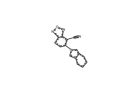 N#Cc1c(-n2cc3ccccc3c2)ccc2nonc12